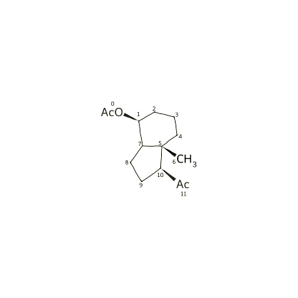 CC(=O)O[C@H]1CCC[C@@]2(C)C1CC[C@@H]2C(C)=O